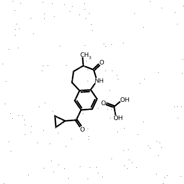 CC1CCc2cc(C(=O)C3CC3)ccc2NC1=O.O=C(O)O